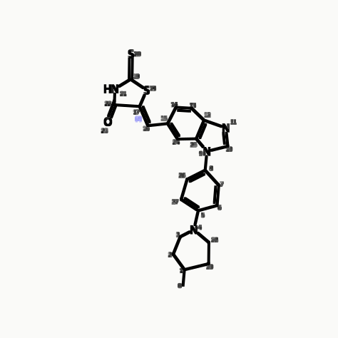 CC1CCN(c2ccc(-n3cnc4ccc(/C=C5\SC(=S)NC5=O)cc43)cc2)CC1